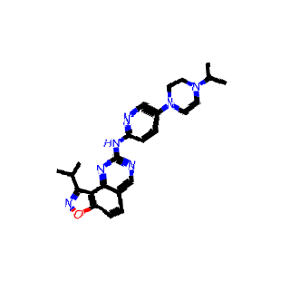 CC(C)c1noc2ccc3cnc(Nc4ccc(N5CCN(C(C)C)CC5)cn4)nc3c12